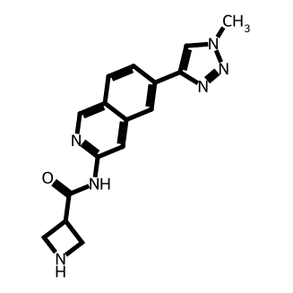 Cn1cc(-c2ccc3cnc(NC(=O)C4CNC4)cc3c2)nn1